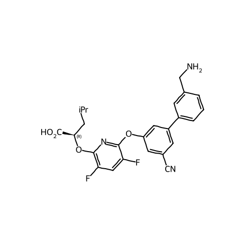 CC(C)C[C@@H](Oc1nc(Oc2cc(C#N)cc(-c3cccc(CN)c3)c2)c(F)cc1F)C(=O)O